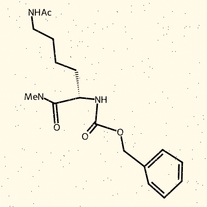 CNC(=O)[C@H](CCCCNC(C)=O)NC(=O)OCc1ccccc1